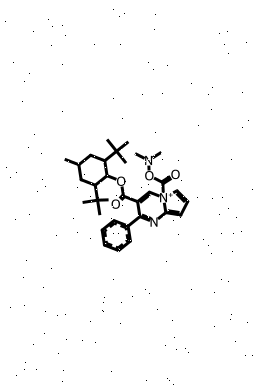 CC1CC(C(C)(C)C)C(OC(=O)C2=C[N+]3(C(=O)ON(C)C)C=CC=C3N=C2c2ccccc2)C(C(C)(C)C)C1